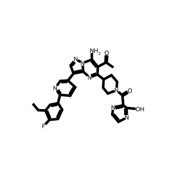 CCc1cc(-c2ccc(-c3cnn4c(N)c(C(C)=O)c(C5CCN(C(=O)c6nccnc6O)CC5)nc34)cn2)ccc1F